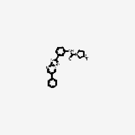 O=C(Nc1cccc(-c2nc3ncc(-c4ccccc4)cn3n2)c1)N1CC[C@@H](F)C1